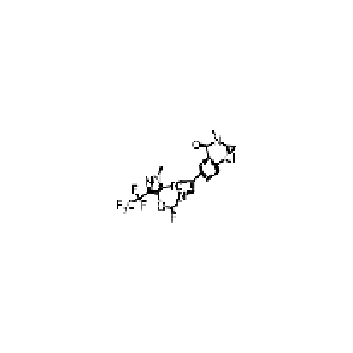 CN(C(=O)c1cc(-c2cnn(-c3c(OC(F)F)c(C(F)(F)C(F)(F)F)nn3C)c2)ccc1Cl)C1CC1